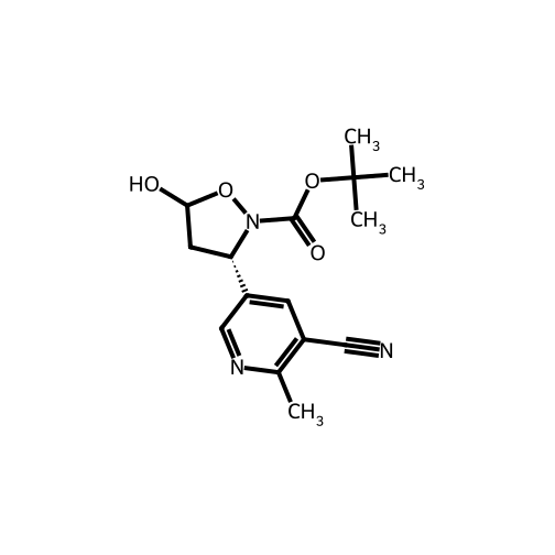 Cc1ncc([C@@H]2CC(O)ON2C(=O)OC(C)(C)C)cc1C#N